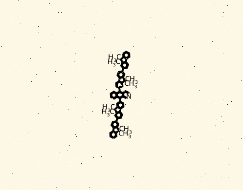 CC1(C)c2ccccc2-c2ccc(-c3ccc4c(c3)C(C)(C)c3cc(-c5c6ccccc6c(-c6ccc7c(c6)C(C)(C)c6cc(-c8ccc9c(c8)C(C)(C)c8ccccc8-9)ccc6-7)c6cnccc56)ccc3-4)cc21